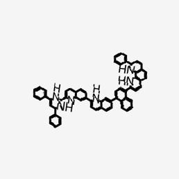 C1=CC2=CC=C(c3ccc4ccc(C5NC(c6ccccc6)=CC(c6ccccc6)N5)nc4c3)NC2C=C1c1ccc(C2C=Cc3ccc4c(c3N2)NC(c2ccccc2)C=C4)c2ccccc12